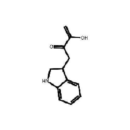 C=C(O)C(=O)CC1CNc2ccccc21